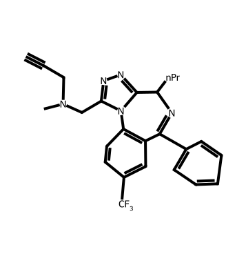 C#CCN(C)Cc1nnc2n1-c1ccc(C(F)(F)F)cc1C(c1ccccc1)=NC2CCC